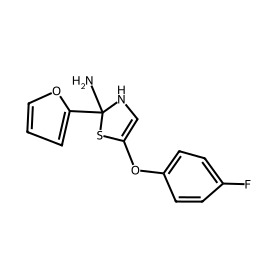 NC1(c2ccco2)NC=C(Oc2ccc(F)cc2)S1